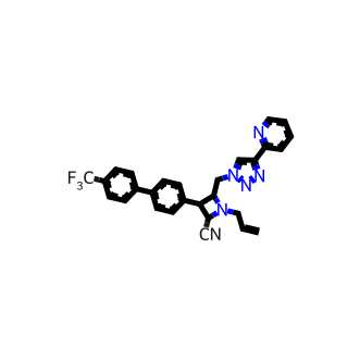 C=CCN1C(C#N)C(c2ccc(-c3ccc(C(F)(F)F)cc3)cc2)C1Cn1cc(-c2ccccn2)nn1